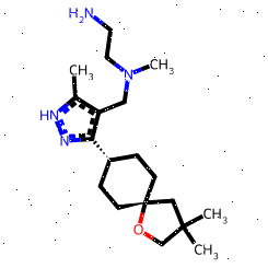 Cc1[nH]nc([C@H]2CC[C@@]3(CC2)CC(C)(C)CO3)c1CN(C)CCN